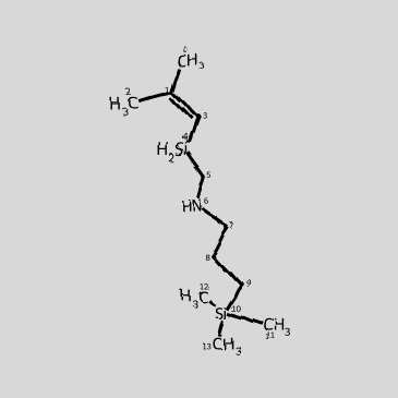 CC(C)=C[SiH2]CNCCC[Si](C)(C)C